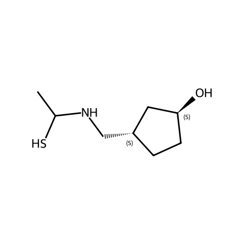 CC(S)NC[C@H]1CC[C@H](O)C1